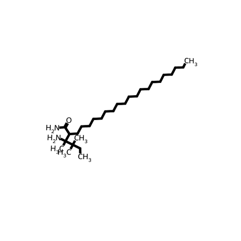 CCCCCCCCCCCCCCCCCCCCC(C(N)=O)C(C)(N)C(C)(C)CC